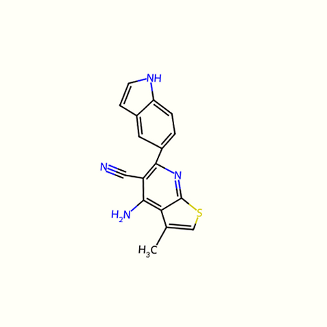 Cc1csc2nc(-c3ccc4[nH]ccc4c3)c(C#N)c(N)c12